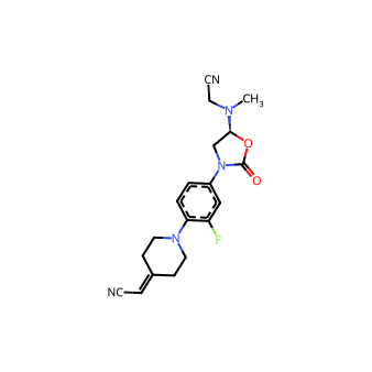 CN(CC#N)[C@@H]1CN(c2ccc(N3CCC(=CC#N)CC3)c(F)c2)C(=O)O1